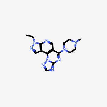 CCn1ncc2c1ncc1c(N3CCN(C)CC3)nc3ncnn3c12